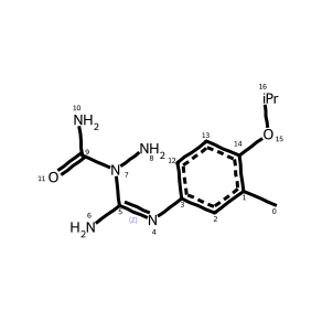 Cc1cc(/N=C(/N)N(N)C(N)=O)ccc1OC(C)C